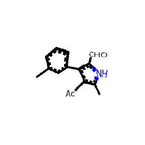 CC(=O)c1c(C)[nH]c(C=O)c1-c1cccc(C)c1